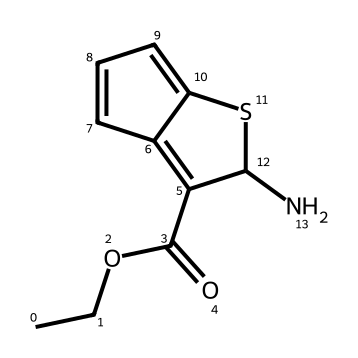 CCOC(=O)C1=C2C=CC=C2SC1N